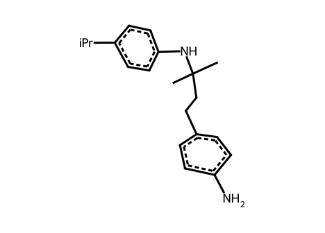 CC(C)c1ccc(NC(C)(C)CCc2ccc(N)cc2)cc1